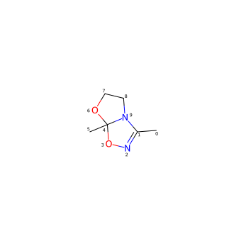 CC1=NOC2(C)OCCN12